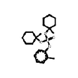 Cc1ccccc1OP(=O)(OC1(C)CCCCC1)OC1(C)CCCCC1